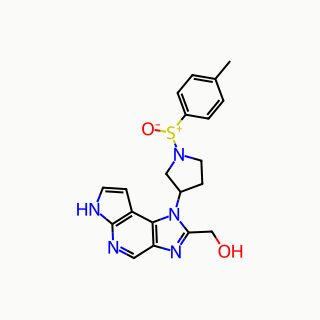 Cc1ccc([S+]([O-])N2CCC(n3c(CO)nc4cnc5[nH]ccc5c43)C2)cc1